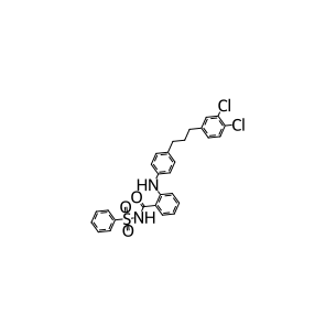 O=C(NS(=O)(=O)c1ccccc1)c1ccccc1Nc1ccc(CCCc2ccc(Cl)c(Cl)c2)cc1